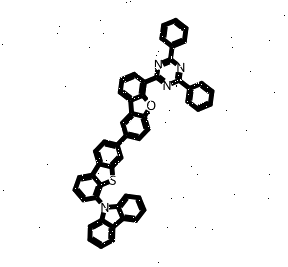 c1ccc(-c2nc(-c3ccccc3)nc(-c3cccc4c3oc3ccc(-c5ccc6c(c5)sc5c(-n7c8ccccc8c8ccccc87)cccc56)cc34)n2)cc1